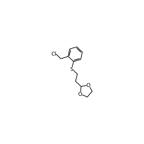 ClCc1ccccc1SCCC1OCCO1